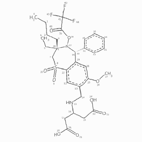 CCCC[C@]1(CC)CS(=O)(=O)c2cc(CNC(CC(=O)O)CC(=O)O)c(OC)cc2[C@@H](c2ccccc2)N1OC(=O)C(F)(F)F